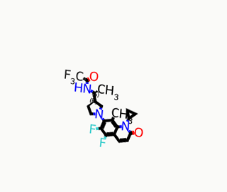 Cc1c(N2CC[C@@H]([C@H](C)NC(=O)C(F)(F)F)C2)c(F)c(F)c2ccc(=O)n(C3CC3)c12